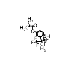 C=C(C)C(=O)Oc1ccc(O)c(C(C)(C(F)(F)F)C(F)(F)F)c1